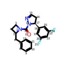 O=C(N1CCC1Cc1ccccc1)N1N=CC[C@H]1c1cc(F)cc(F)c1